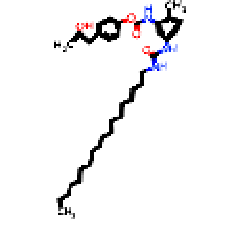 C=C(O)Cc1ccc(OC(=O)Nc2cc(NC(=O)NCCCCCCCCCCCCCCCCCC)ccc2C)cc1